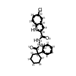 O=C(NNC(=O)C1(c2ccccc2)CCCCC1)c1cc2cc(Cl)ccc2[nH]1